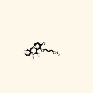 CCCCOc1c2n(ccc1=O)CC1(CCOC1)NC2=O